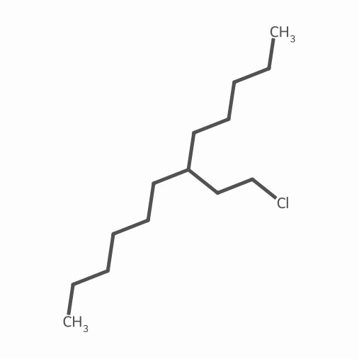 CCCCCCC(CCCl)CCCCC